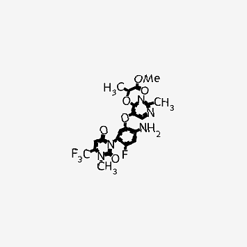 COC(=O)C(C)Oc1nc(C)ncc1Oc1cc(-n2c(=O)cc(C(F)(F)F)n(C)c2=O)c(F)cc1N